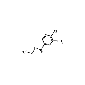 CCOC(=O)c1ccc(Cl)c(C)c1